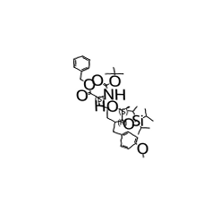 COc1ccc(CC(CCC[C@H](NC(=O)OC(C)(C)C)C(=O)OCc2ccccc2)[C@@H](O[Si](C(C)C)(C(C)C)C(C)C)[C@H](C)O)cc1